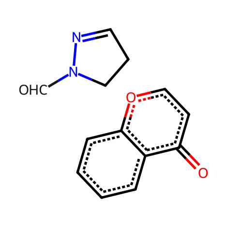 O=CN1CCC=N1.O=c1ccoc2ccccc12